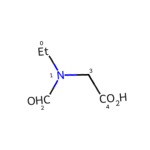 CCN(C=O)CC(=O)O